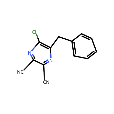 N#Cc1nc(Cl)c(Cc2ccccc2)nc1C#N